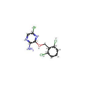 Nc1ncc(Br)nc1OCc1c(Cl)cccc1Cl